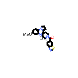 COc1ccc2c(c1)N(C)C1(CCN(C(=O)c3ccc4ncsc4c3)CC1)c1cccn1-2